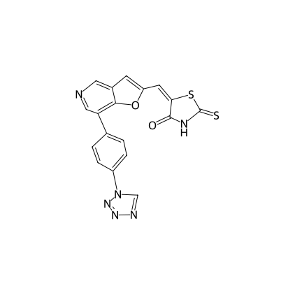 O=C1NC(=S)SC1=Cc1cc2cncc(-c3ccc(-n4cnnn4)cc3)c2o1